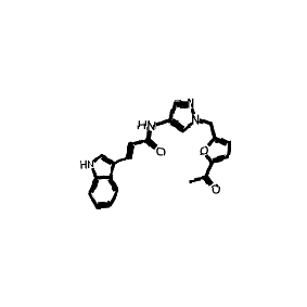 CC(=O)c1ccc(Cn2cc(NC(=O)C=Cc3c[nH]c4ccccc34)cn2)o1